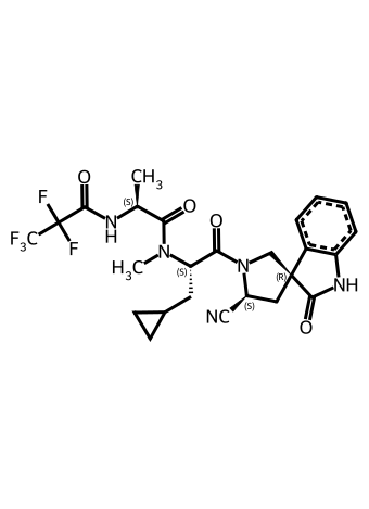 C[C@H](NC(=O)C(F)(F)C(F)(F)F)C(=O)N(C)[C@@H](CC1CC1)C(=O)N1C[C@]2(C[C@H]1C#N)C(=O)Nc1ccccc12